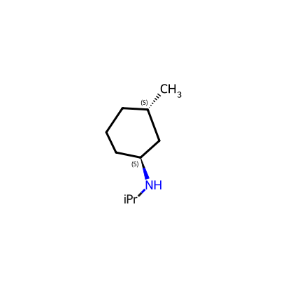 CC(C)N[C@H]1CCC[C@H](C)C1